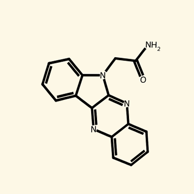 NC(=O)Cn1c2ccccc2c2nc3ccccc3nc21